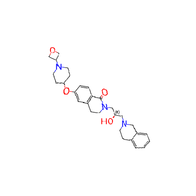 O=C1c2ccc(OC3CCN(C4COC4)CC3)cc2CCN1C[C@H](O)CN1CCc2ccccc2C1